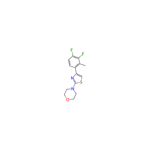 Cc1c(-c2csc(N3CCOCC3)n2)ccc(F)c1F